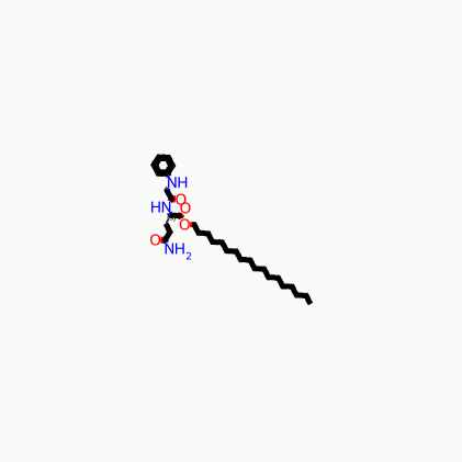 CCCCCCCCCCCCCCCCCCOC(=O)[C@H](CCC(N)=O)NC(=O)CNc1ccccc1